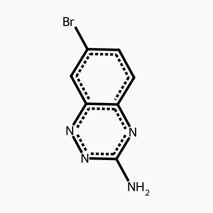 Nc1nnc2cc(Br)ccc2n1